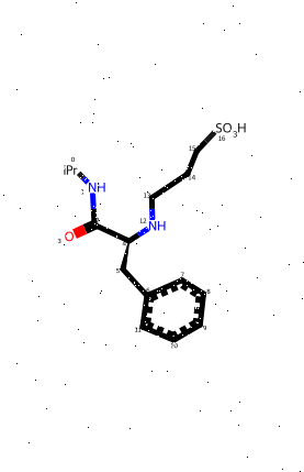 CC(C)NC(=O)[C@H](Cc1ccccc1)NCCCS(=O)(=O)O